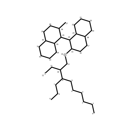 CCCCCCC(CCC)C(CI)COC1CCC2CCCCC2C1C1C(C)CCC2CCCCC21